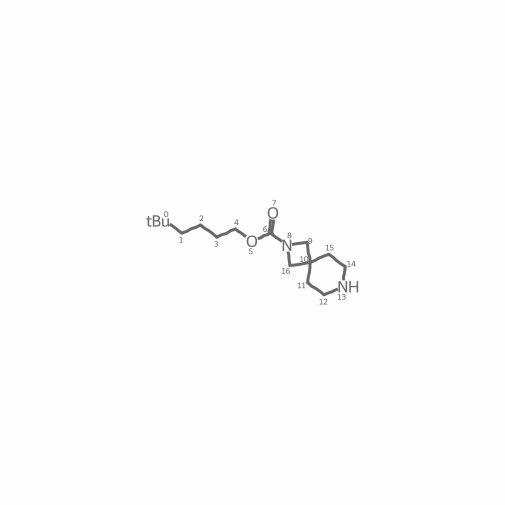 CC(C)(C)CCCCOC(=O)N1CC2(CCNCC2)C1